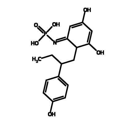 CCC(CC1C(O)=CC(O)=CC1=NP(=O)(O)O)c1ccc(O)cc1